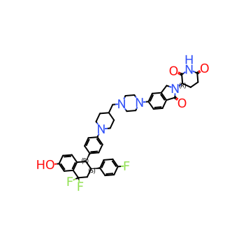 O=C1CC[C@@H](N2Cc3cc(N4CCN(CC5CCN(c6ccc([C@@H]7c8ccc(O)cc8C(F)(F)C[C@@H]7c7ccc(F)cc7)cc6)CC5)CC4)ccc3C2=O)C(=O)N1